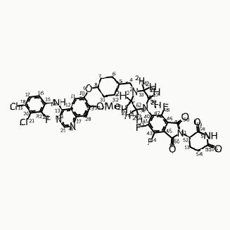 [2H]C1([2H])N(CC2CCC(Oc3cc4c(Nc5ccc(Cl)c(Cl)c5F)ncnc4cc3OC)CC2)C([2H])([2H])C([2H])([2H])N(c2c(F)c(F)c3c(c2F)C(=O)N(C2CCC(=O)NC2=O)C3=O)C1([2H])[2H]